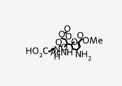 COC(=O)C1=C[C@H](N)C(NC(C)=O)C(C(OC(=O)NCCC(=O)O)C2COC(=O)O2)O1